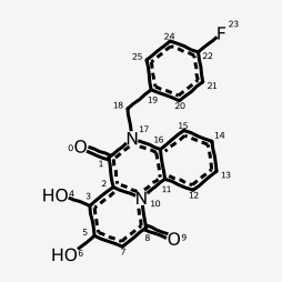 O=c1c2c(O)c(O)cc(=O)n2c2ccccc2n1Cc1ccc(F)cc1